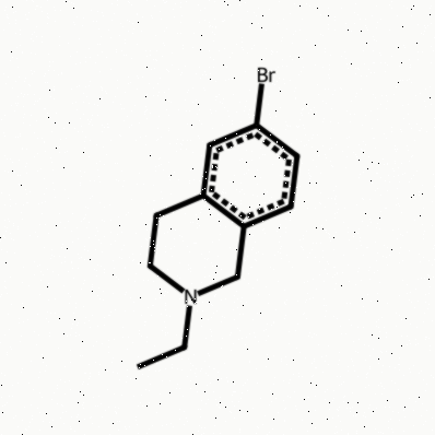 CCN1CCc2cc(Br)ccc2C1